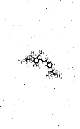 COc1c(C=CC(=O)c2ccc(OC(=O)C(C)(C)C)cc2)cc(C)c(OC(=O)C(C)(C)C)c1C